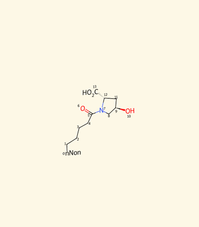 CCCCCCCCCCCCCC(=O)N1C[C@H](O)C[C@H]1C(=O)O